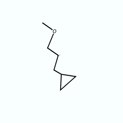 COC[CH]CC1CC1